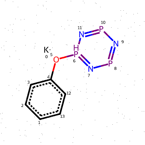 [K].c1ccc(O[PH]2=NP=NP=N2)cc1